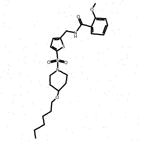 CCCCCCOC1CCN(S(=O)(=O)c2ccc(CNC(=O)c3ccccc3OC)s2)CC1